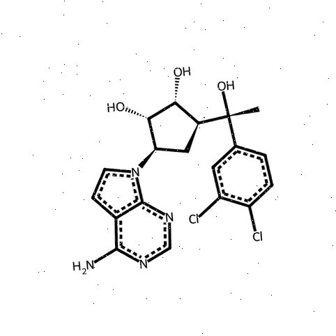 C[C@@](O)(c1ccc(Cl)c(Cl)c1)[C@H]1C[C@@H](n2ccc3c(N)ncnc32)[C@H](O)[C@@H]1O